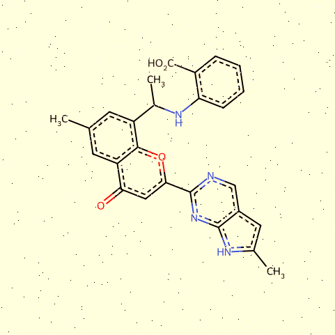 Cc1cc(C(C)Nc2ccccc2C(=O)O)c2oc(-c3ncc4cc(C)[nH]c4n3)cc(=O)c2c1